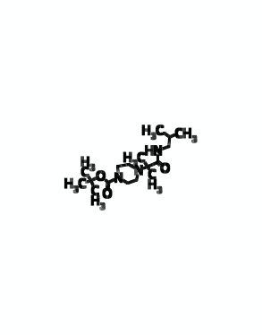 CC(C)CNC(=O)C(C)(C)N1CCN(C(=O)OC(C)(C)C)CC1